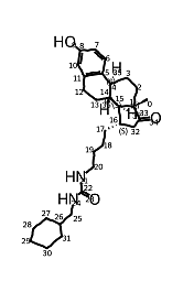 C[C@]12CC[C@@H]3c4ccc(O)cc4CC[C@H]3[C@@H]1[C@@H](CCCCNC(=O)NCC1CCCCC1)CC2=O